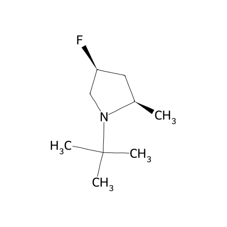 C[C@@H]1C[C@H](F)CN1C(C)(C)C